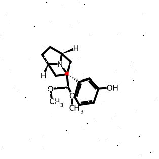 COC(CN1[C@@H]2CC[C@H]1C[C@@H](c1cccc(O)c1)C2)OC